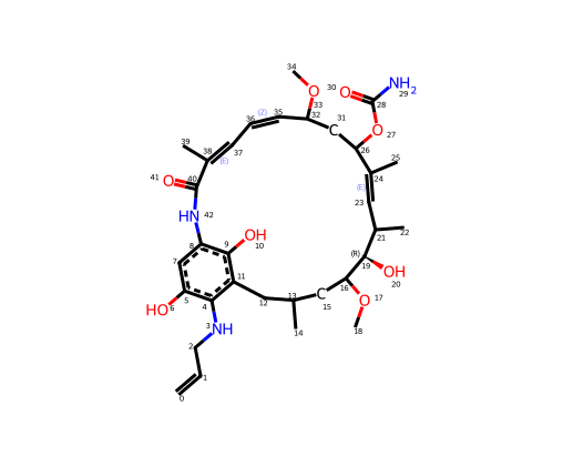 C=CCNc1c(O)cc2c(O)c1CC(C)CC(OC)[C@H](O)C(C)/C=C(\C)C(OC(N)=O)CC(OC)/C=C\C=C(/C)C(=O)N2